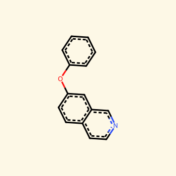 c1ccc(Oc2ccc3ccncc3c2)cc1